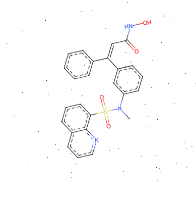 CN(c1cccc(/C(=C\C(=O)NO)c2ccccc2)c1)S(=O)(=O)c1cccc2cccnc12